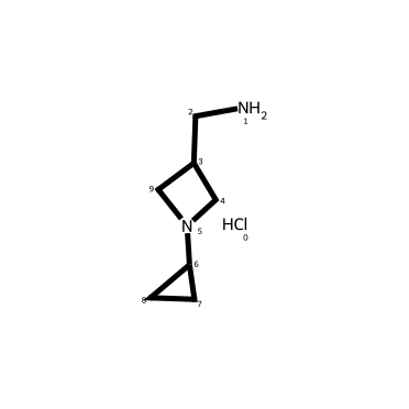 Cl.NCC1CN(C2CC2)C1